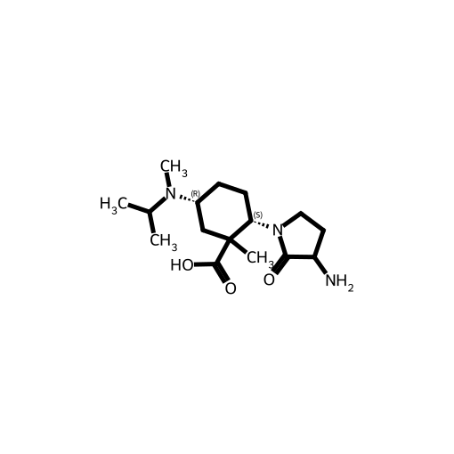 CC(C)N(C)[C@@H]1CC[C@H](N2CCC(N)C2=O)C(C)(C(=O)O)C1